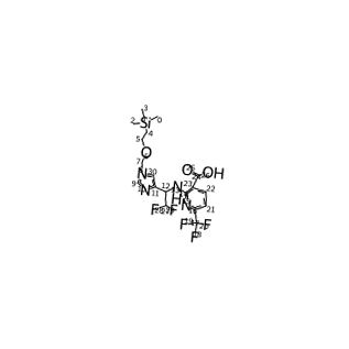 C[Si](C)(C)CCOCn1cnc(C(Nc2nc(C(F)(F)F)ccc2C(=O)O)C(F)F)c1